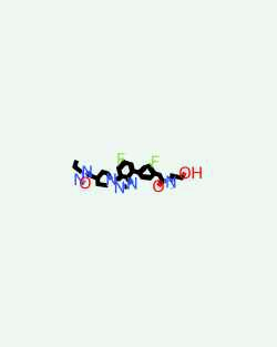 CCc1noc(C2CCN(c3ncnc4c(-c5ccc(CC(=O)N(C)CCO)c(F)c5)cc(F)cc34)CC2)n1